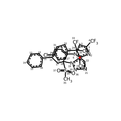 Cc1nc(C(F)(F)F)cn1C1=CC=C(c2ccccc2)CC1(n1nncc1C(O)(c1ccc(Cl)cc1)C(F)(F)F)S(C)(=O)=O